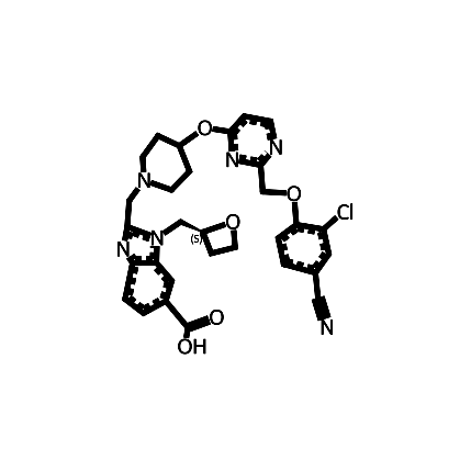 N#Cc1ccc(OCc2nccc(OC3CCN(Cc4nc5ccc(C(=O)O)cc5n4C[C@@H]4CCO4)CC3)n2)c(Cl)c1